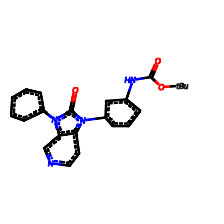 CC(C)(C)OC(=O)Nc1cccc(-n2c(=O)n(-c3ccccc3)c3cnccc32)c1